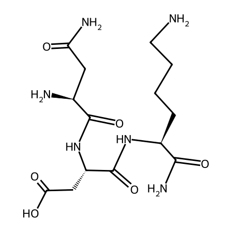 NCCCC[C@H](NC(=O)[C@H](CC(=O)O)NC(=O)[C@@H](N)CC(N)=O)C(N)=O